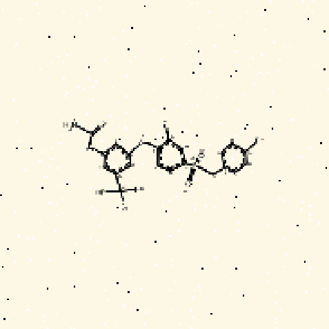 NC(=O)Cc1cc(Oc2ccc(S(=O)(=O)Cc3ccc(F)cc3)cc2Cl)cc(C(F)(F)F)c1